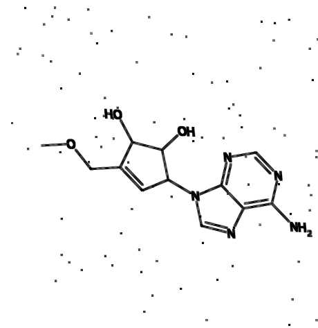 COCC1=CC(n2cnc3c(N)ncnc32)C(O)C1O